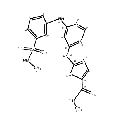 CNS(=O)(=O)c1cccc(Nc2cc(Nc3ncc(C(=O)OC)s3)ncn2)c1